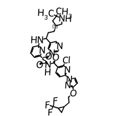 CC1(C)C[C@H](CCC(Nc2cccc(S(=O)(=O)NC(=O)c3ccc(-n4ccc(OCCC5CC5C(F)(F)F)n4)nc3Cl)n2)c2cncnc2)CN1